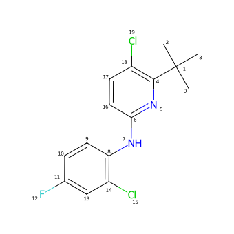 CC(C)(C)c1nc(Nc2ccc(F)cc2Cl)ccc1Cl